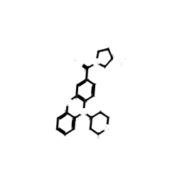 O=C(c1ccc2c(c1)Oc1ccccc1N2C1CCNCC1)N1CC[C@H](O)C1